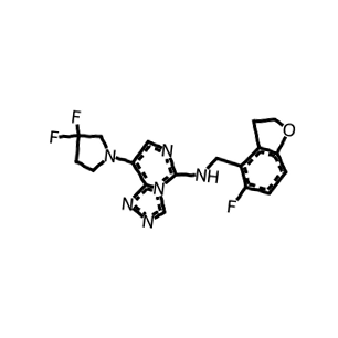 Fc1ccc2c(c1CNc1ncc(N3CCC(F)(F)C3)c3nncn13)CCO2